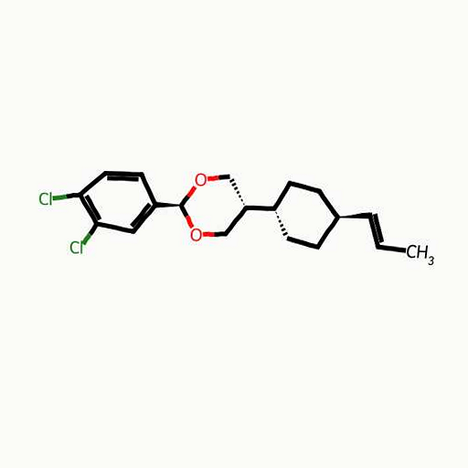 CC=C[C@H]1CC[C@H]([C@H]2CO[C@H](c3ccc(Cl)c(Cl)c3)OC2)CC1